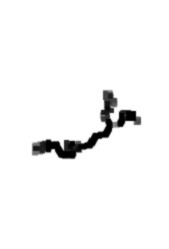 CC[C@H](CCCN/C=C\C=N)OC